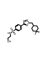 O=S(=O)(NCCO)c1ccc(-c2nnn(CC3CCC(F)(F)CC3)n2)cc1